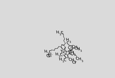 CCCCCCc1cc(CCCCCC)cc(C([SiH2]c2cc(C)cc(C)c2)[C]2([Ti+3])C(C)=C(C)C(C)=C2c2cc(CC)cc(CC)c2)c1.[Cl-].[Cl-].[Cl-]